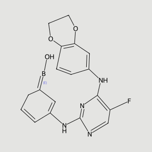 O/B=C1/C=C(Nc2ncc(F)c(Nc3ccc4c(c3)OCCO4)n2)C=CC1